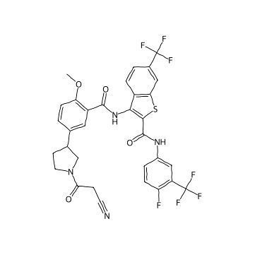 COc1ccc(C2CCN(C(=O)CC#N)C2)cc1C(=O)Nc1c(C(=O)Nc2ccc(F)c(C(F)(F)F)c2)sc2cc(C(F)(F)F)ccc12